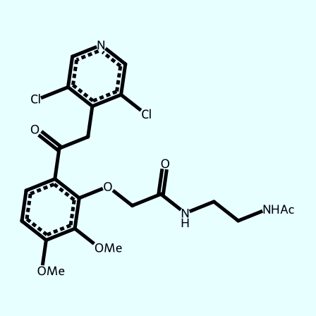 COc1ccc(C(=O)Cc2c(Cl)cncc2Cl)c(OCC(=O)NCCNC(C)=O)c1OC